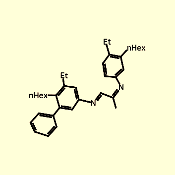 CCCCCCc1cc(N=C(C)C=Nc2cc(CC)c(CCCCCC)c(-c3ccccc3)c2)ccc1CC